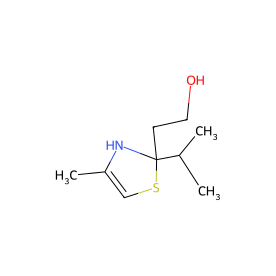 CC1=CSC(CCO)(C(C)C)N1